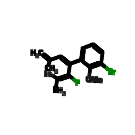 B/C(CC)=C(F)/C(=C\C(=C)C)c1cccc(Br)c1OC